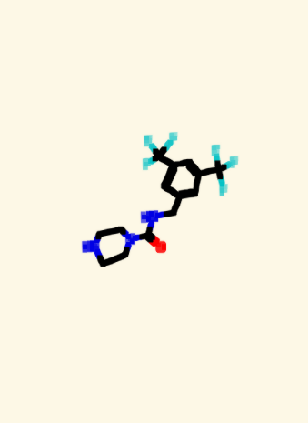 O=C(NCc1cc(C(F)(F)F)cc(C(F)(F)F)c1)N1CCNCC1